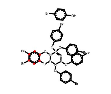 Brc1ccc(ON2P(Oc3ccc(Br)cc3)N=P(Oc3ccc(Br)cc3)(Oc3ccc(Br)cc3)N(Oc3ccc(Br)cc3)P2Oc2ccc(Br)cc2)cc1.Oc1ccc(Br)cc1